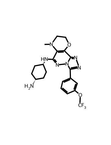 CN1CCOc2c1c(N[C@H]1CC[C@@H](N)CC1)nn1c(-c3cccc(OC(F)(F)F)c3)nnc21